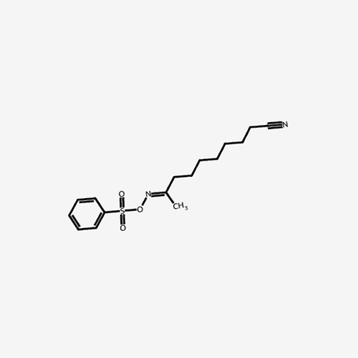 C/C(CCCCCCCC#N)=N\OS(=O)(=O)c1ccccc1